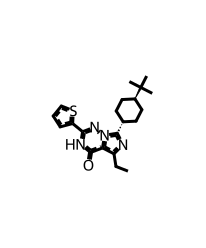 CCc1nc([C@H]2CC[C@H](C(C)(C)C)CC2)n2nc(-c3cccs3)[nH]c(=O)c12